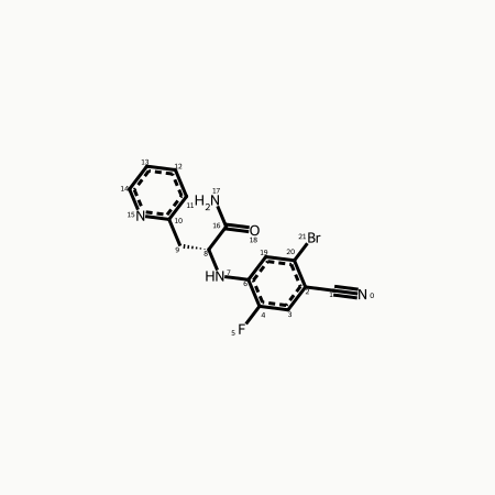 N#Cc1cc(F)c(N[C@H](Cc2ccccn2)C(N)=O)cc1Br